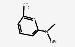 CCCN(C)c1cccc(C(F)(F)F)n1